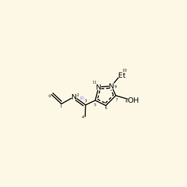 C=C/N=C(\C)c1cc(O)n(CC)n1